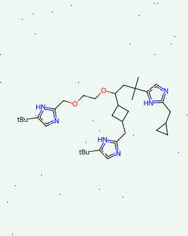 CC(C)(C)c1cnc(COCCOC(CC(C)(C)c2cnc(CC3CC3)[nH]2)C2CC(Cc3ncc(C(C)(C)C)[nH]3)C2)[nH]1